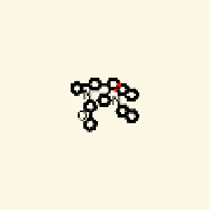 c1ccc(-c2ccccc2N(c2ccc3ccccc3c2)c2cccc3ccccc23)c(-c2ccc3c4ccccc4n(-c4ccc5c(c4)oc4ccccc45)c3c2)c1